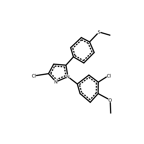 COc1ccc(-n2nc(Cl)cc2-c2ccc(SC)cc2)cc1Cl